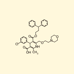 CC1=C(C(=O)O)C(c2cccc(Cl)c2)C(C(=O)OCCC(c2ccccc2)c2ccccc2)=C(COCCN2CCOCC2)N1